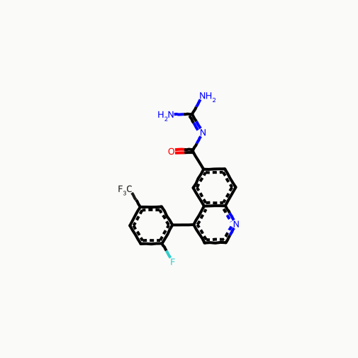 NC(N)=NC(=O)c1ccc2nccc(-c3cc(C(F)(F)F)ccc3F)c2c1